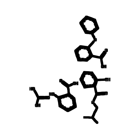 CC(C)COC(=O)c1ccccc1O.O=C(O)O.O=C(O)c1ccccc1O.O=C(O)c1ccccc1Oc1ccccc1